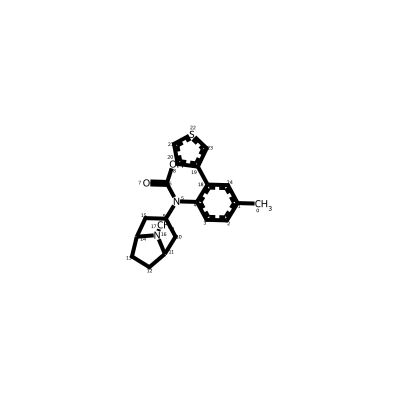 Cc1ccc(N(C(=O)O)C2CC3CCC(C2)N3C)c(-c2ccsc2)c1